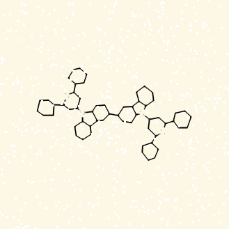 C1CCC(C2CC(N3C4CCCCC4C4CC(C5CCC6C(C5)C5CCCCC5N6C5CC(C6CCCCC6)NC(C6CCCCC6)C5)CCC43)CC(C3CCCCC3)N2)CC1